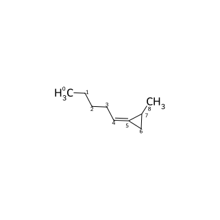 CCCCC=C1CC1C